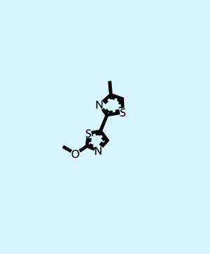 COc1ncc(-c2nc(C)cs2)s1